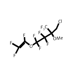 COC(CCl)(C(F)(F)F)C(F)(F)C(F)(F)OC(F)=C(F)F